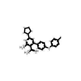 Cc1ccc(Oc2ccc(-c3cc(C4CCCC4)nc(N)c3C(=N)N)cc2)cc1